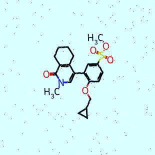 COS(=O)(=O)c1ccc(OCC2CC2)c(-c2cn(C)c(=O)c3c2CCCC3)c1